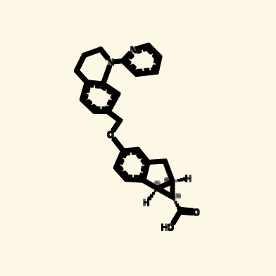 O=C(O)[C@H]1[C@@H]2Cc3cc(OCc4ccc5c(c4)N(c4ccccn4)CCC5)ccc3[C@@H]21